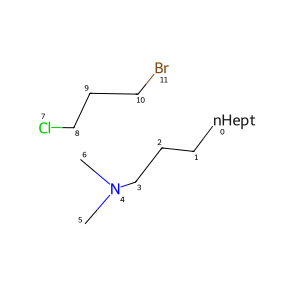 CCCCCCCCCCN(C)C.ClCCCBr